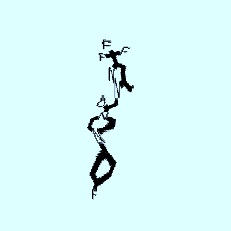 Cc1cc(C(F)(F)F)nn1CC(=O)N1CCN(c2ccc(F)cc2)CC1